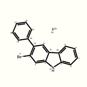 [Be+][c]1cc2[nH]c3ccccc3c2cc1-c1ccccc1.[Ir+3]